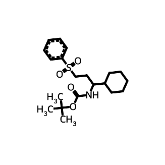 CC(C)(C)OC(=O)NC(CCS(=O)(=O)c1ccccc1)C1CCCCC1